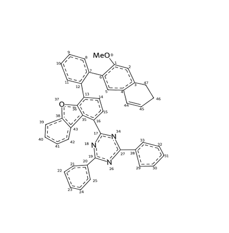 COc1cc2c(cc1-c1ccccc1-c1ccc(-c3nc(-c4ccccc4)nc(-c4ccccc4)n3)c3c1oc1ccccc13)C=CCC2